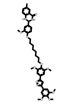 COc1cc(C2NC(=O)c3cc(C)ccc3N2)ccc1OCCCCCCCCOc1c(OC)cc(-c2cc(-c3cc(OC)c(OC)c(OC)c3)no2)cc1OC